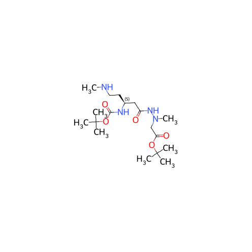 CNCC[C@@H](CC(=O)NN(C)CC(=O)OC(C)(C)C)NC(=O)OC(C)(C)C